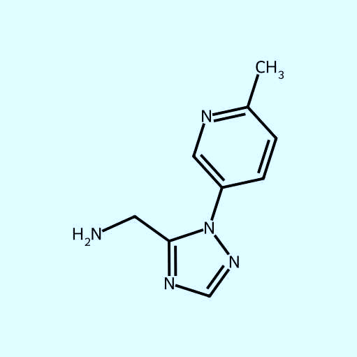 Cc1ccc(-n2ncnc2CN)cn1